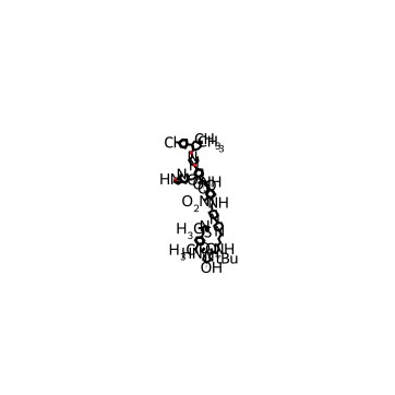 Cc1ncsc1-c1ccc([C@H](C)NC(=O)[C@@H]2C[C@@H](O)CN2C(=O)[C@@H](NCCCCN2CCC(N3CCC(CNc4ccc(S(=O)(=O)NC(=O)c5ccc(N6CCN(CC7=C(c8ccc(Cl)cc8)CC(C)(C)CC7)CC6)cc5Oc5cnc6[nH]ccc6c5)cc4[N+](=O)[O-])CC3)CC2)C(C)(C)C)cc1